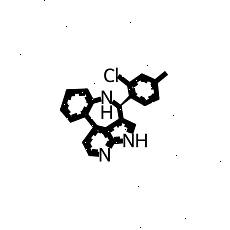 Cc1ccc([C@@H]2Nc3ccccc3-c3ccnc4[nH]cc2c34)c(Cl)c1